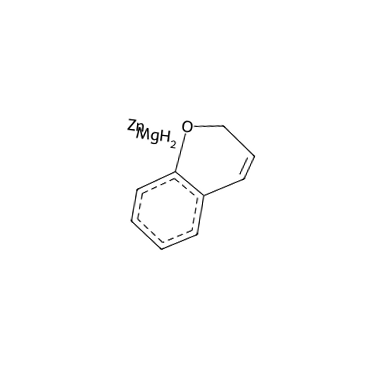 C1=Cc2ccccc2OC1.[MgH2].[Zn]